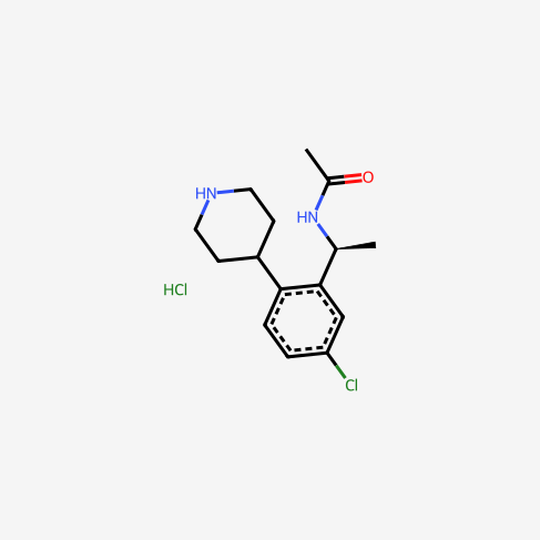 CC(=O)N[C@@H](C)c1cc(Cl)ccc1C1CCNCC1.Cl